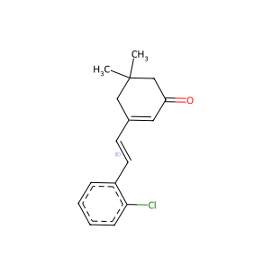 CC1(C)CC(=O)C=C(/C=C/c2ccccc2Cl)C1